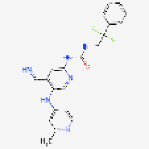 Cc1cc(Nc2cnc(NC(=O)NCC(F)(F)c3ccccc3)cc2C=N)ccn1